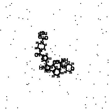 CC(C)(C)OC(=O)N1CCN(C(=O)c2ccc(-c3[nH]nc4c3C(=O)c3c-4cccc3N(C(N)=O)N3CCOCC3)s2)CC1